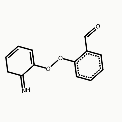 N=C1CC=CC=C1OOc1ccccc1C=O